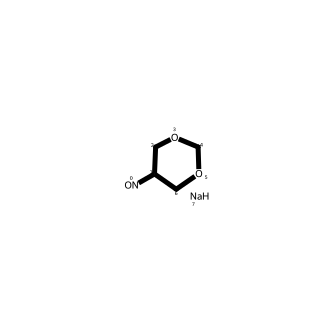 O=NC1COCOC1.[NaH]